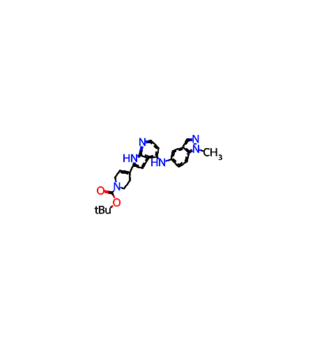 Cn1ncc2cc(Nc3ccnc4[nH]c(C5=CCN(C(=O)OC(C)(C)C)CC5)cc34)ccc21